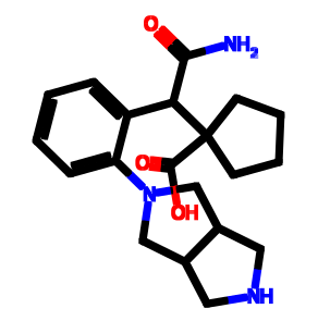 NC(=O)C(c1ccccc1N1CC2CNCC2C1)C1(C(=O)O)CCCC1